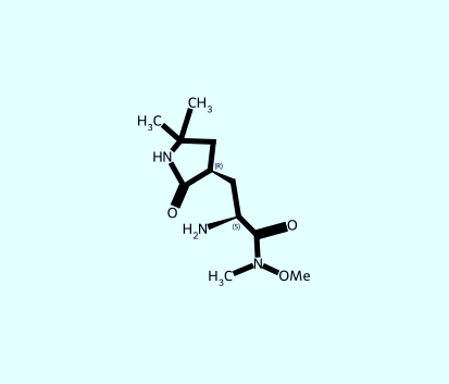 CON(C)C(=O)[C@@H](N)C[C@@H]1CC(C)(C)NC1=O